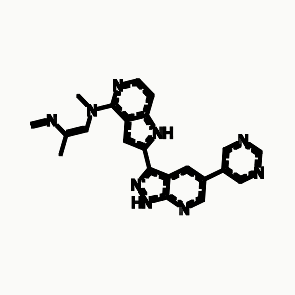 C=N/C(C)=C\N(C)c1nccc2[nH]c(-c3n[nH]c4ncc(-c5cncnc5)cc34)cc12